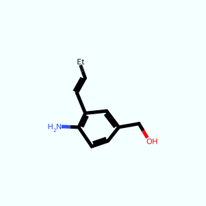 CC/C=C/c1cc(CO)ccc1N